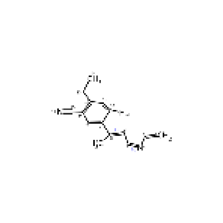 C=C/N=C\C=C(/C)c1cc(C#N)c(CC)cc1F